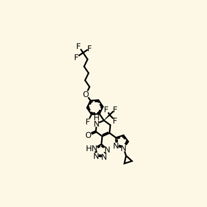 O=C1N[C@@](c2ccc(OCCCCCC(F)(F)F)cc2F)(C(F)(F)F)CC(c2ccn(C3CC3)n2)=C1c1nnn[nH]1